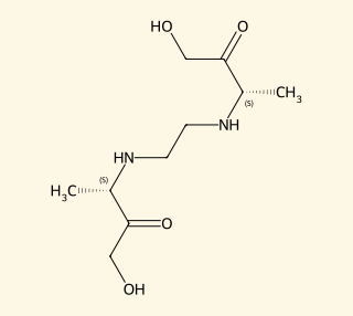 C[C@H](NCCN[C@@H](C)C(=O)CO)C(=O)CO